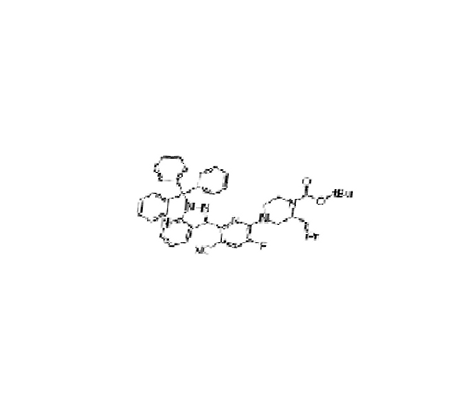 CC(C)CC1CN(c2nc(-c3nn(C(c4ccccc4)(c4ccccc4)c4ccccc4)c4ncccc34)c(C#N)cc2F)CCN1C(=O)OC(C)(C)C